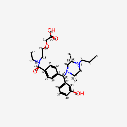 CCCN1C[C@H](C)N([C@H](c2ccc(C(=O)N(CC)CCOCC(=O)O)cc2)c2cccc(O)c2)C[C@H]1C